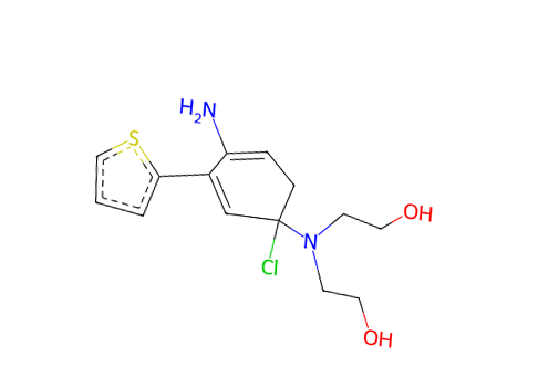 NC1=CCC(Cl)(N(CCO)CCO)C=C1c1cccs1